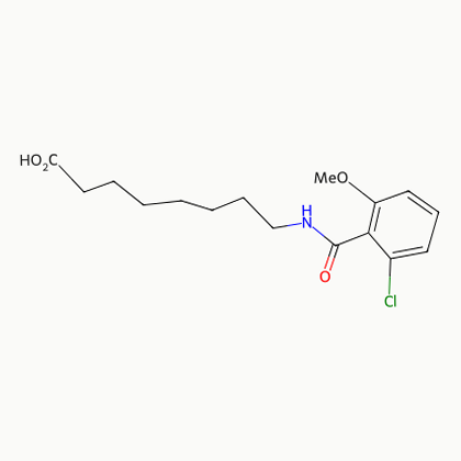 COc1cccc(Cl)c1C(=O)NCCCCCCCC(=O)O